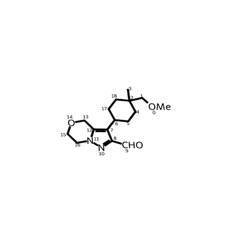 COCC1(C)CCC(c2c(C=O)nn3c2COCC3)CC1